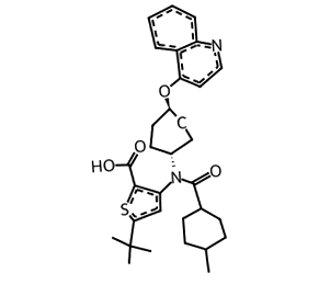 CC1CCC(C(=O)N(c2cc(C(C)(C)C)sc2C(=O)O)[C@H]2CC[C@H](Oc3ccnc4ccccc34)CC2)CC1